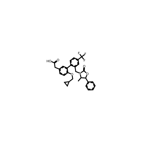 CC1C(c2ccccc2)OC(=O)N1Cc1cc(C(F)(F)F)ccc1-c1cc(CC(=O)O)ccc1OCC1CC1